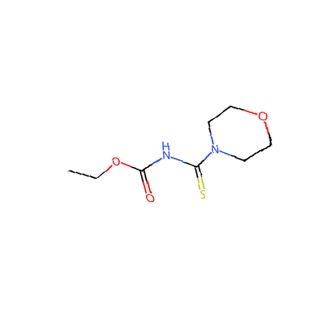 CCOC(=O)NC(=S)N1CCOCC1